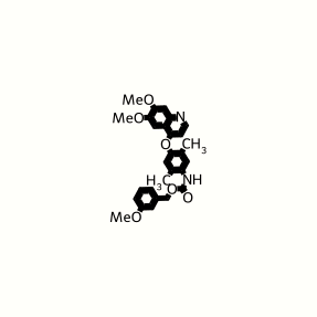 COc1cccc(COC(=O)Nc2cc(C)c(Oc3ccnc4cc(OC)c(OC)cc34)cc2C)c1